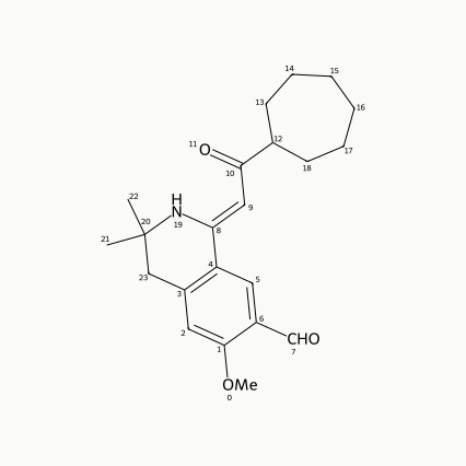 COc1cc2c(cc1C=O)/C(=C/C(=O)C1CCCCCC1)NC(C)(C)C2